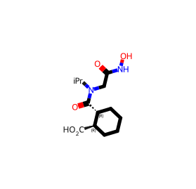 CC(C)N(CC(=O)NO)C(=O)[C@@H]1CCCC[C@H]1C(=O)O